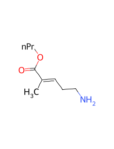 CCCOC(=O)C(C)=CCCN